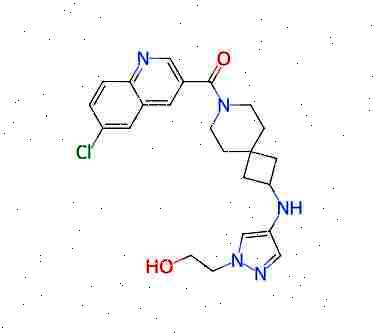 O=C(c1cnc2ccc(Cl)cc2c1)N1CCC2(CC1)CC(Nc1cnn(CCO)c1)C2